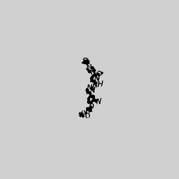 COc1nc(Nc2nccc(-c3ccc(OC4CN(C(=O)OC(C)(C)C)C4)c(C#N)c3)n2)ccc1N1CCN(C2COC2)CC1